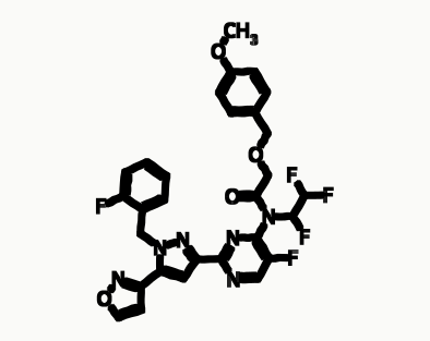 COc1ccc(COCC(=O)N(c2nc(-c3cc(-c4ccon4)n(Cc4ccccc4F)n3)ncc2F)C(F)C(F)F)cc1